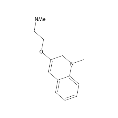 CNCCOC1=Cc2ccccc2N(C)C1